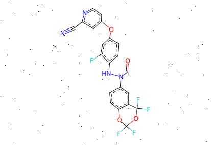 N#Cc1cc(Oc2ccc(NN(C=O)c3ccc4c(c3)C(F)(F)OC(F)(F)O4)c(F)c2)ccn1